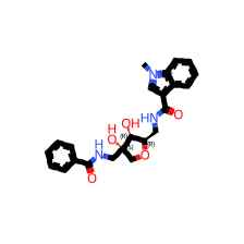 Cn1cc(C(=O)NC[C@H]2OC[C@@](O)(CNC(=O)c3ccccc3)[C@@H]2O)c2ccccc21